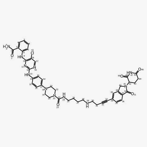 NC(=O)c1ccccc1Nc1nc(Nc2ccc(N3CCN(C(=O)NCCCCNCCC#Cc4ccc5c(c4)CN(C4CCC(=O)NC4=O)C5=O)CC3)cc2)ncc1Cl